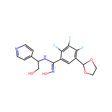 OCC(N/C(=N\O)c1cc(C2OCCO2)c(F)c(F)c1F)c1ccncc1